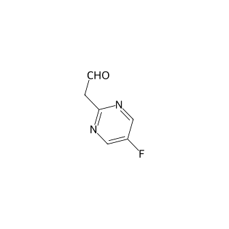 O=CCc1ncc(F)cn1